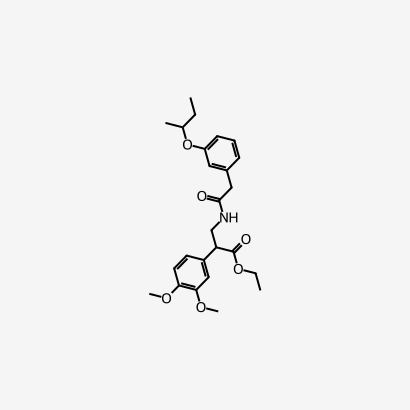 CCOC(=O)C(CNC(=O)Cc1cccc(OC(C)CC)c1)c1ccc(OC)c(OC)c1